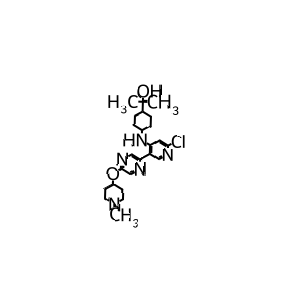 CN1CCC(Oc2cnc(-c3cnc(Cl)cc3NC3CCC(C(C)(C)O)CC3)cn2)CC1